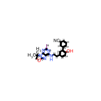 CC1(C)COc2nc3c(NCCc4ccc(O)c(-c5cccc(C#N)c5)c4)nc(I)nc3n21